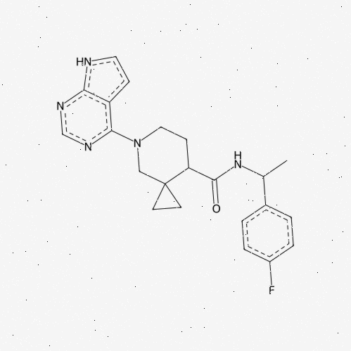 CC(NC(=O)C1CCN(c2ncnc3[nH]ccc23)CC12CC2)c1ccc(F)cc1